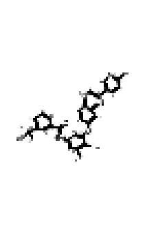 Cc1ccc(-c2cnc3ccc(Oc4cc(NC(=O)c5cccc(C(F)(F)F)c5)cc(F)c4F)cc3n2)cn1